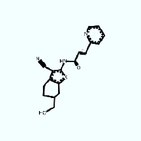 N#Cc1c(NC(=O)/C=C/c2ccccn2)sc2c1CCC(CO)C2